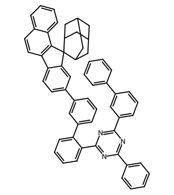 c1ccc(-c2cccc(-c3nc(-c4ccccc4)nc(-c4ccccc4-c4cccc(-c5ccc6c(c5)C5(c7c-6ccc6ccccc76)C6CC7CC(C6)CC5C7)c4)n3)c2)cc1